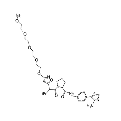 CCOCCOCCOCCOCCOc1cc(C(C(=O)N2CCCC2C(=O)NCc2ccc(-c3scnc3C)cc2)C(C)C)on1